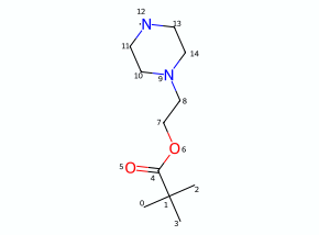 CC(C)(C)C(=O)OCCN1CC[N]CC1